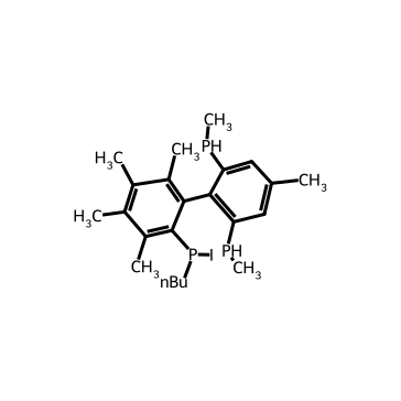 CCCCP(I)c1c(C)c(C)c(C)c(C)c1-c1c(PC)cc(C)cc1PC